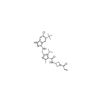 C=CC(=O)N1CC(NC(=O)c2c(C)nc(CNc3n[nH]c4cc(Cl)c(C(C)(C)C)cc34)n2C(C)C)C1